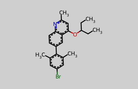 CCC(CC)Oc1cc(C)nc2ccc(-c3c(C)cc(Br)cc3C)cc12